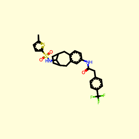 Cc1ccc(S(=O)(=O)NC2C3CCC2Cc2cc(NC(=O)Cc4ccc(C(F)(F)F)cc4)ccc2C3)s1